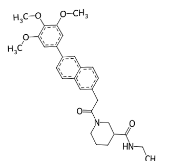 CCNC(=O)C1CCCN(C(=O)Cc2ccc3cc(-c4cc(OC)c(OC)c(OC)c4)ccc3c2)C1